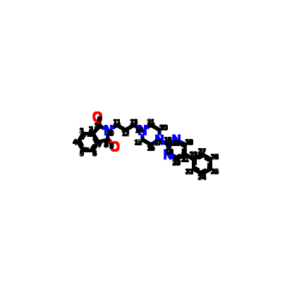 O=C1c2ccccc2C(=O)N1CCCN1CCN(c2ncc(-c3ccccc3)cn2)CC1